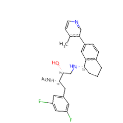 CC(=O)N[C@@H](Cc1cc(F)cc(F)c1)[C@H](O)CN[C@H]1CCCc2ccc(-c3cnccc3C)cc21